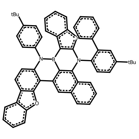 CC(C)(C)c1ccc(N2B3c4c(cc5ccccc5c4N(c4ccc(C(C)(C)C)cc4-c4ccccc4)c4sc5ccccc5c43)-c3c2ccc2c3oc3ccccc32)cc1